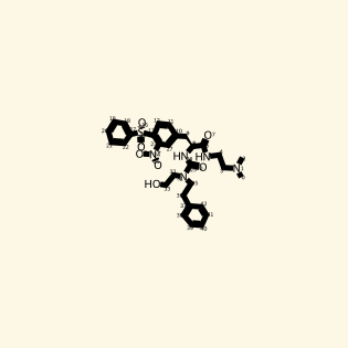 CN(C)CCNC(=O)[C@H](Cc1ccc(S(=O)(=O)c2ccccc2)c([N+](=O)[O-])c1)NC(=O)N(CCO)CCc1ccccc1